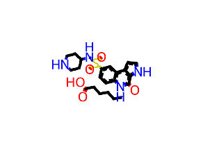 CCCCCC(=O)O.O=c1[nH]c2ccc(S(=O)(=O)NC3CCNCC3)cc2c2cc[nH]c12